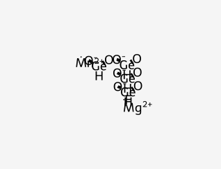 [F].[Mg+2].[Mn+2].[O]=[GeH][O-].[O]=[GeH][O-].[O]=[GeH][O-].[O]=[GeH][O-]